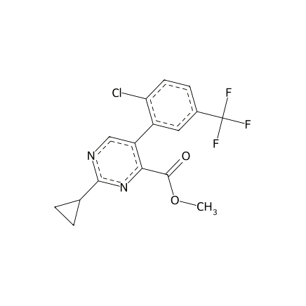 COC(=O)c1nc(C2CC2)ncc1-c1cc(C(F)(F)F)ccc1Cl